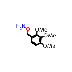 COc1ccc(CON)c(OC)c1OC